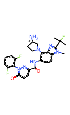 Cn1c(C(C)(C)F)nc2c(N3CC[C@@H](N)C3)c(NC(=O)c3ccc(=O)n(-c4c(F)cccc4F)n3)ccc21